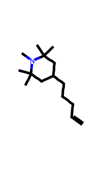 C=CCCCC1CC(C)(C)N(C)C(C)(C)C1